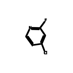 Fc1cc(Cl)[c]cn1